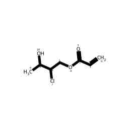 C=CC(=O)OCC(Cl)C(C)O